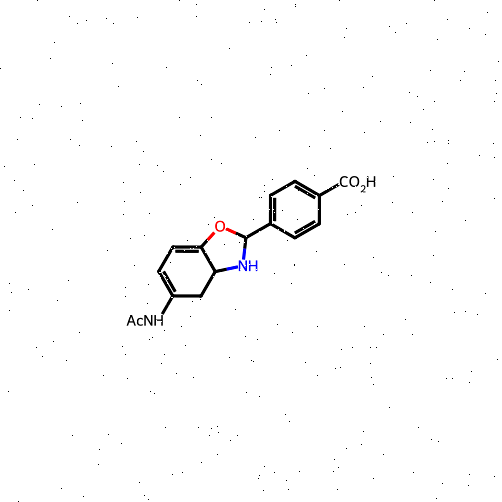 CC(=O)NC1=CC=C2OC(c3ccc(C(=O)O)cc3)NC2C1